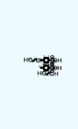 Cc1ccc(S(=O)(=O)O)cc1.Cc1ccc(S(=O)(=O)O)cc1.OCCO.OCCO